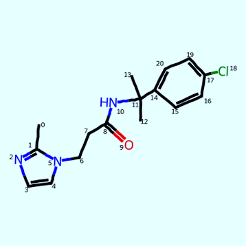 Cc1nccn1CCC(=O)NC(C)(C)c1ccc(Cl)cc1